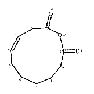 O=C1CC=CCCCCCC(=O)O1